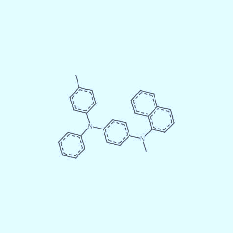 Cc1ccc(N(c2ccccc2)c2ccc(N(C)c3cccc4ccccc34)cc2)cc1